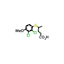 COc1ccc(SC(C)CCC(=O)O)c(Cl)c1Cl